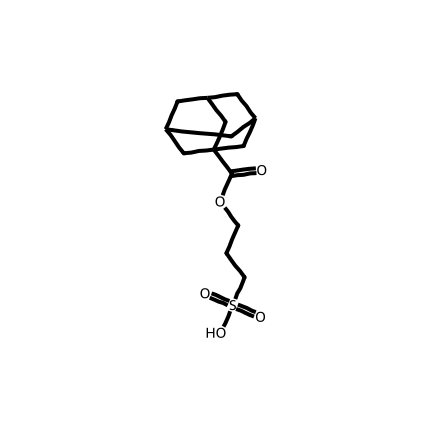 O=C(OCCCS(=O)(=O)O)C12CC3CC(CC(C3)C1)C2